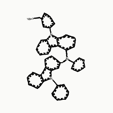 CC(C)(C)c1cccc(-n2c3ccccc3c3c(N(c4ccccc4)c4ccc5c6ccccc6n(-c6ccccc6)c5c4)cccc32)c1